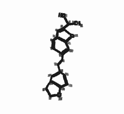 CC(O)c1cc2ccc(CCc3ccc4c(c3)CCO4)cc2o1